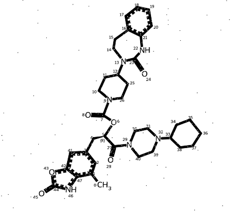 Cc1cc(C[C@@H](OC(=O)N2CCC(N3CCc4ccccc4NC3=O)CC2)C(=O)N2CCN(C3CCCCC3)CC2)cc2oc(=O)[nH]c12